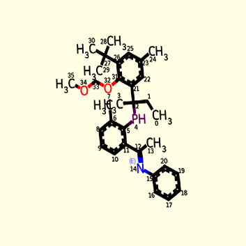 CCC(C)(Pc1c(C)cccc1/C(C)=N/c1ccccc1)c1cc(C)cc(C(C)(C)C)c1OCOC